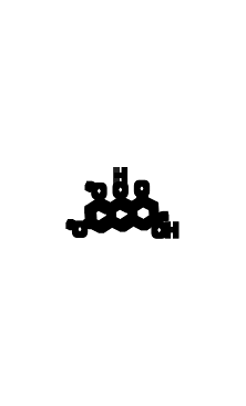 COc1cc(OC)c2c(O)c3c(cc2c1)CC(C)(O)CC3=O